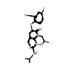 CC(C)Nc1ncc2cc(Oc3ccc(F)cc3F)c(=O)n(C[C@@H](C)O)c2n1